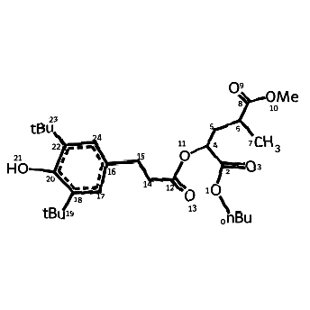 CCCCOC(=O)C(CC(C)C(=O)OC)OC(=O)CCc1cc(C(C)(C)C)c(O)c(C(C)(C)C)c1